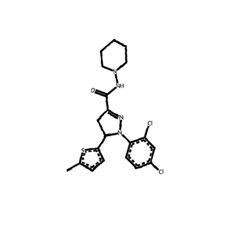 Cc1ccc(C2CC(C(=O)NN3CCCCC3)=NN2c2ccc(Cl)cc2Cl)s1